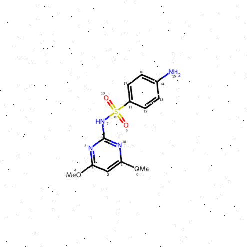 COc1cc(OC)nc(NS(=O)(=O)c2ccc(N)cc2)n1